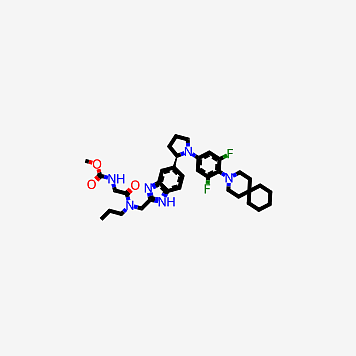 CCCN(Cc1nc2cc([C@H]3CCCN3c3cc(F)c(N4CCC5(CCCCC5)CC4)c(F)c3)ccc2[nH]1)C(=O)CNC(=O)OC